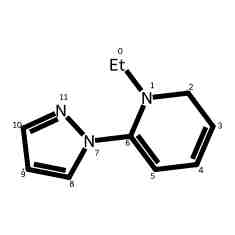 CCN1CC=CC=C1n1c[c]cn1